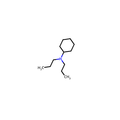 CCCN(CCC)C1CCCCC1